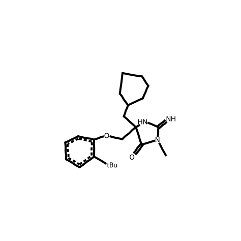 CN1C(=N)NC(COc2ccccc2C(C)(C)C)(CC2CCCCC2)C1=O